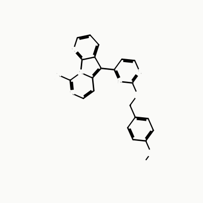 COc1ccc(COc2nccc(-c3c4cccnc4n4c(N)nccc34)n2)cc1